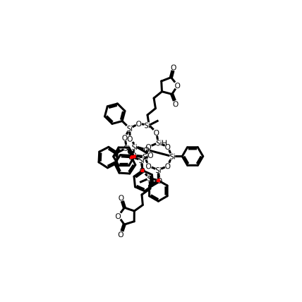 C[Si]1(CCCC2CC(=O)OC2=O)O[SiH]2O[Si]3(c4ccccc4)O[Si]4(c5ccccc5)O[Si](C)(CCCC5CC(=O)OC5=O)O[Si]5(c6ccccc6)O[Si](c6ccccc6)(O3)O[Si](c3ccccc3)(O1)O[Si](c1ccccc1)(O[Si](c1ccccc1)(O2)O4)O5